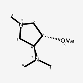 CO[C@H]1CN(C)C[C@@H]1N(C)C